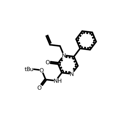 C=CCn1c(-c2ccccc2)cnc(NC(=O)OC(C)(C)C)c1=O